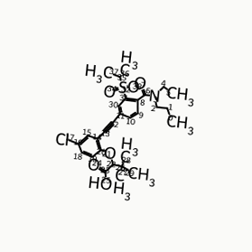 CCCN(CC)C(=O)c1ccc(C#Cc2cc(Cl)ccc2OC(C(=O)O)C(C)(C)C)cc1S(=O)(=O)C(C)C